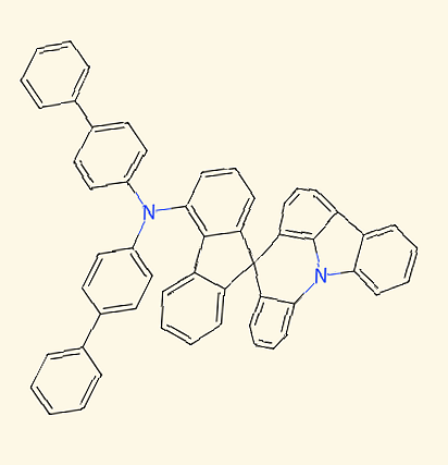 c1ccc(-c2ccc(N(c3ccc(-c4ccccc4)cc3)c3cccc4c3-c3ccccc3C43c4ccccc4-n4c5ccccc5c5cccc3c54)cc2)cc1